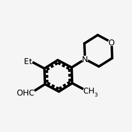 CCc1cc(N2CCOCC2)c(C)cc1C=O